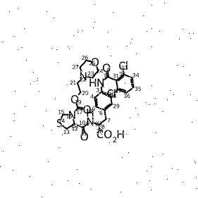 O=C(Nc1ccc(C[C@H](NC(=O)[C@H]2CSCN2C(=O)OCCN2CCOCC2)C(=O)O)cc1)c1c(Cl)cccc1Cl